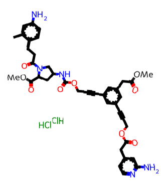 COC(=O)Cc1cc(C#CCOC(=O)Cc2ccnc(N)c2)cc(C#CCOC(=O)NC2CC(C(=O)OC)N(C(=O)CCc3ccc(N)cc3C)C2)c1.Cl.Cl